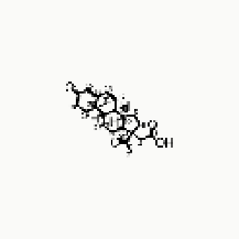 CC(=O)[C@@]1(CC(=O)O)CC[C@H]2[C@@H]3C=CC4=CC(=O)CC[C@@]4(C)[C@H]3CC[C@@]21C